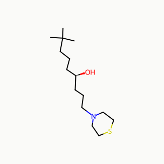 CC(C)(C)CCC[C@@H](O)CCCN1CCSCC1